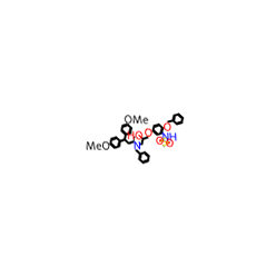 COc1ccc(C(C[C@@H](C)N(Cc2ccccc2)C[C@@H](O)COc2ccc(OCc3ccccc3)c(NS(C)(=O)=O)c2)c2ccc(OC)cc2)cc1